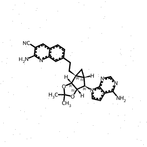 CC1(C)O[C@H]2[C@H](n3ccc4c(N)ncnc43)[C@H]3C[C@@]3(CCc3ccc4cc(C#N)c(N)nc4c3)[C@H]2O1